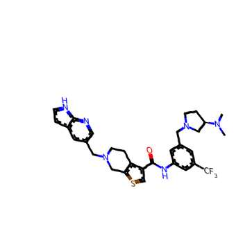 CN(C)[C@@H]1CCN(Cc2cc(NC(=O)c3csc4c3CCN(Cc3cnc5[nH]ccc5c3)C4)cc(C(F)(F)F)c2)C1